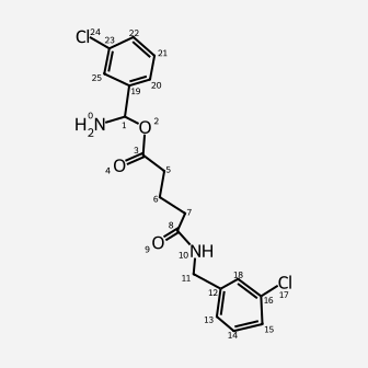 NC(OC(=O)CCCC(=O)NCc1cccc(Cl)c1)c1cccc(Cl)c1